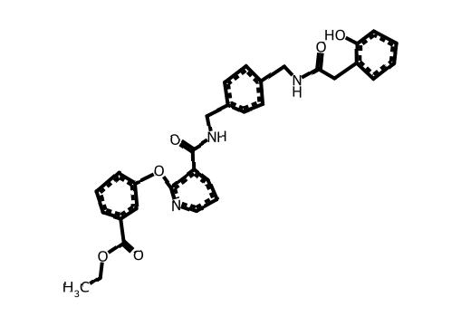 CCOC(=O)c1cccc(Oc2ncccc2C(=O)NCc2ccc(CNC(=O)Cc3ccccc3O)cc2)c1